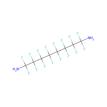 NC(F)(F)C(F)(F)C(F)(F)C(F)(F)C(F)(F)C(F)(F)C(F)(F)C(N)(F)F